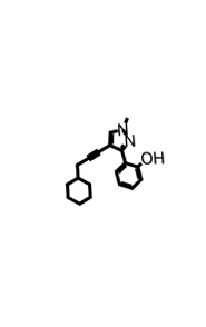 Cn1cc(C#CCC2CCCCC2)c(-c2ccccc2O)n1